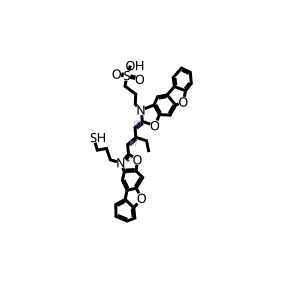 CCC(/C=C1\Oc2cc3oc4ccccc4c3cc2N1CCCS(=O)(=O)O)=C\c1oc2cc3oc4ccccc4c3cc2[n+]1CCCS